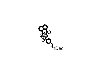 CCCCCCCCCCCCc1ccc(S(=O)(=O)ON2C(=O)c3cccc4cccc(c34)C2=O)cc1